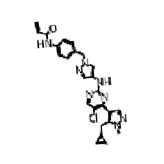 C=CC(=O)Nc1ccc(Cn2cc(Nc3ncc(Cl)c(-c4cnn(C)c4CC4CC4)n3)cn2)cc1